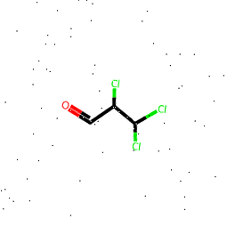 O=CC(Cl)C(Cl)Cl